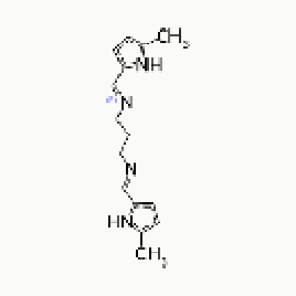 Cc1ccc(C=NCCC/N=C/c2ccc(C)[nH]2)[nH]1